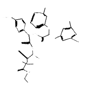 COc1ccc([C@H](NC(=O)[C@@H](Cc2cc(Cl)cc(Cl)c2)Oc2cccc(Cl)c2)C(=O)N[C@H](C(=O)C(F)(F)C(=O)NCC(F)(F)F)C(C)C)cc1